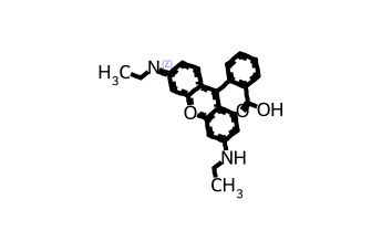 CC/N=c1/ccc2c(-c3ccccc3C(=O)O)c3ccc(NCC)cc3oc-2c1